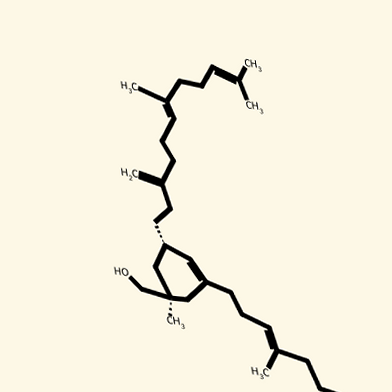 C=C(CC/C=C(\C)CCC=C(C)C)CC[C@@H]1C=C(CC/C=C(\C)CCC=C(C)C)C[C@@](C)(CO)C1